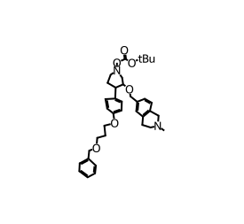 CN1CCc2cc(COC3CN(OC(=O)OC(C)(C)C)CCC3c3ccc(OCCCOCc4ccccc4)cc3)ccc2C1